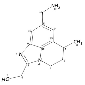 CC1CCn2c(CO)nc3cc(CN)cc1c32